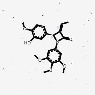 C/C=C1\C(=O)N(c2cc(OC)c(OC)c(OC)c2)[C@H]1c1ccc(OC)c(O)c1